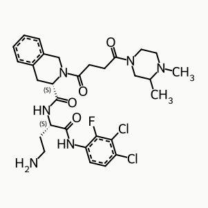 CC1CN(C(=O)CCC(=O)N2Cc3ccccc3C[C@H]2C(=O)N[C@@H](CCN)C(=O)Nc2ccc(Cl)c(Cl)c2F)CCN1C